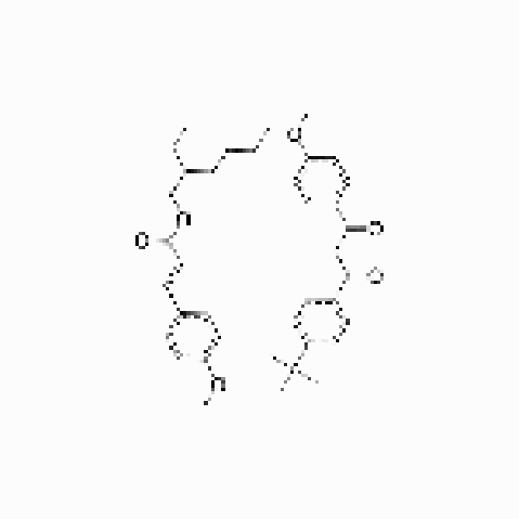 CCCCC(CC)COC(=O)/C=C/c1ccc(OC)cc1.COc1ccc(C(=O)CC(=O)c2ccc(C(C)(C)C)cc2)cc1